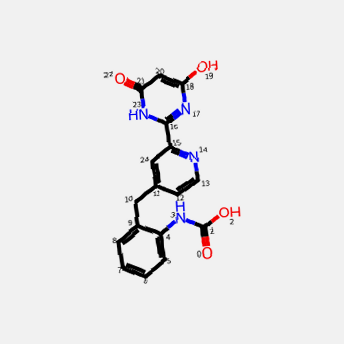 O=C(O)Nc1ccccc1Cc1ccnc(-c2nc(O)cc(=O)[nH]2)c1